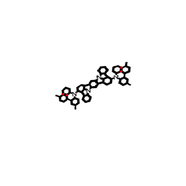 Cc1ccc(-c2cc(C)ccc2N(c2ccccc2)c2ccc3c4cc5c(cc4n4c6ccccc6c2c34)c2ccc(N(c3ccccc3)c3ccc(C)cc3-c3ccc(C)cc3)c3c4ccccc4n5c23)cc1